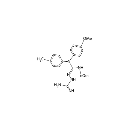 CCCCCCCCNC(=NNC(=N)N)N(c1ccc(C)cc1)c1ccc(OC)cc1